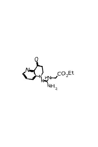 CCOC(=O)CNC(N)=NN1CCC(=O)c2ncccc21